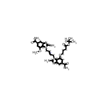 COc1cc(C(N)=O)cc2nc(N)n(C/C=C/Cn3c(N)nc4cc(C(N)=O)cc(OCCCC(=O)OC(C)(C)C)c43)c12